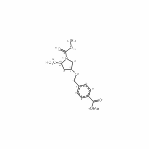 COC(=O)c1ccc(CO[C@H]2C[C@@H](C(=O)O)N(C(=O)OC(C)(C)C)C2)cc1